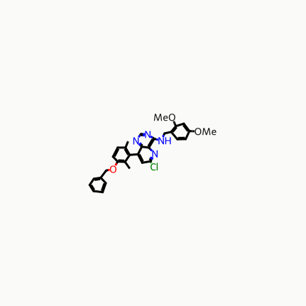 COc1ccc(CNc2ncnc3c(-c4c(C)ccc(OCc5ccccc5)c4C)cc(Cl)nc23)c(OC)c1